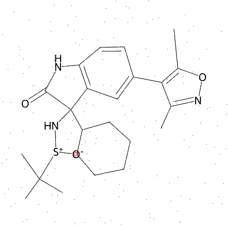 Cc1noc(C)c1-c1ccc2c(c1)C(N[S+]([O-])C(C)(C)C)(C1CCCCC1)C(=O)N2